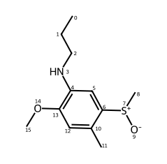 CCCNc1cc([S+](C)[O-])c(C)cc1OC